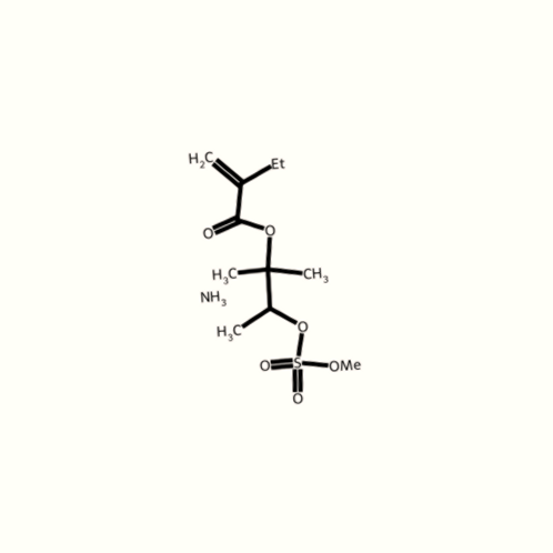 C=C(CC)C(=O)OC(C)(C)C(C)OS(=O)(=O)OC.N